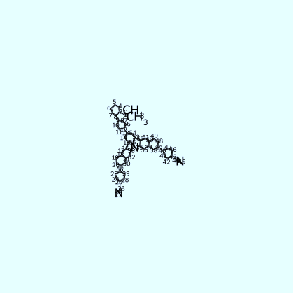 CC1(C)c2ccccc2-c2ccc(-c3cc4c5cc6ccc(-c7ccc(C#N)cc7)cc6cc5n5c6cc7cc(-c8ccc(C#N)cc8)ccc7cc6c(c3)c45)cc21